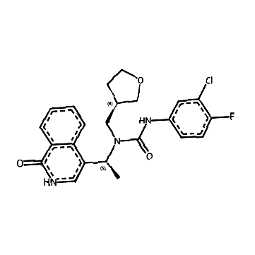 C[C@@H](c1c[nH]c(=O)c2ccccc12)N(C[C@H]1CCOC1)C(=O)Nc1ccc(F)c(Cl)c1